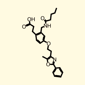 CCCCC(=O)NCc1cc(OCCc2nc(-c3ccccc3)oc2C)ccc1CCC(=O)O